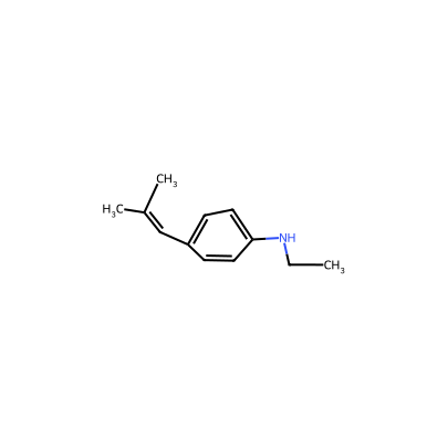 CCNc1ccc(C=C(C)C)cc1